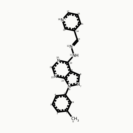 Cc1cccc(-n2ncc3c(N/N=C/c4cccnc4)ncnc32)c1